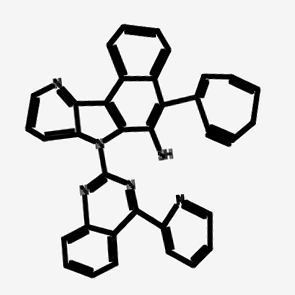 Sc1c(C2=CC=CCC#C2)c2ccccc2c2c3ncccc3n(-c3nc(-c4ccccn4)c4ccccc4n3)c12